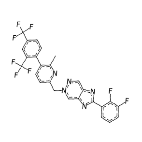 Cc1nc(Cn2cc3nc(-c4cccc(F)c4F)nc-3cn2)ccc1-c1ccc(C(F)(F)F)cc1C(F)(F)F